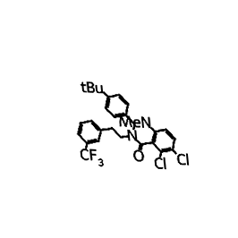 CNc1ccc(Cl)c(Cl)c1C(=O)N(CCc1cccc(C(F)(F)F)c1)Cc1ccc(C(C)(C)C)cc1